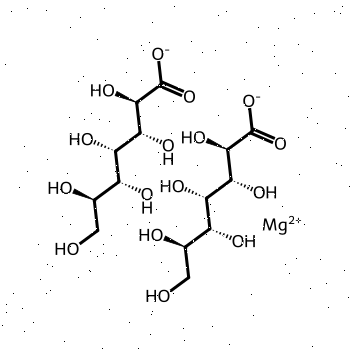 O=C([O-])[C@H](O)[C@H](O)[C@@H](O)[C@H](O)[C@H](O)CO.O=C([O-])[C@H](O)[C@H](O)[C@@H](O)[C@H](O)[C@H](O)CO.[Mg+2]